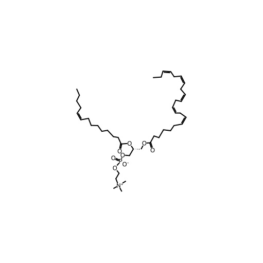 CC/C=C\C/C=C\C/C=C\C/C=C\C/C=C\CCCCCC(=O)OC[C@H](COP(=O)([O-])OCC[N+](C)(C)C)OC(=O)CCCCCCC/C=C\CCCC